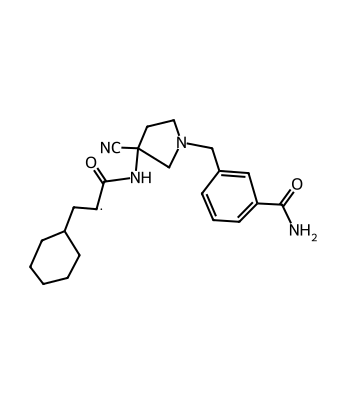 N#CC1(NC(=O)[CH]CC2CCCCC2)CCN(Cc2cccc(C(N)=O)c2)C1